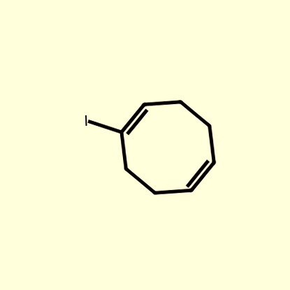 IC1=CCCC=CCC1